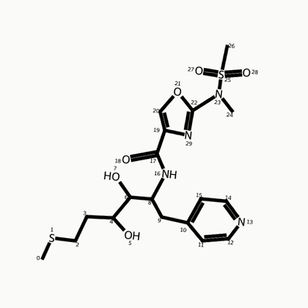 CSCCC(O)C(O)C(Cc1ccncc1)NC(=O)c1coc(N(C)S(C)(=O)=O)n1